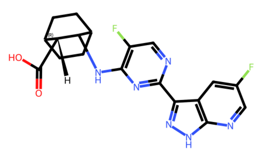 O=C(O)[C@@H]1C2CCC(CC2)C1Nc1nc(-c2n[nH]c3ncc(F)cc23)ncc1F